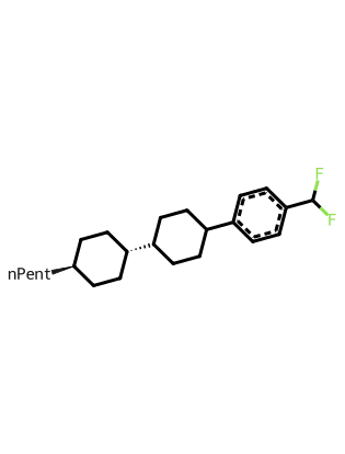 CCCCC[C@H]1CC[C@H](C2CCC(c3ccc(C(F)F)cc3)CC2)CC1